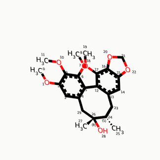 COc1cc2c(c(OC)c1OC)-c1c(cc3c(c1OC)OCO3)C[C@H](C)[C@](C)(O)C2